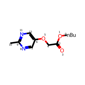 CCCCOC(=O)COc1cnc(C)nc1